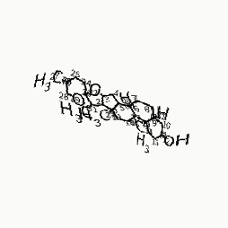 CC1C2C(CC3[C@@H]4CC[C@@H]5C[C@@H](O)CC[C@]5(C)C4CCC23C)OC12CC[C@H](C)CO2